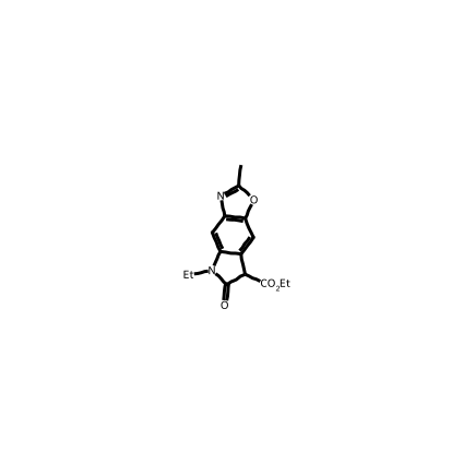 CCOC(=O)C1C(=O)N(CC)c2cc3nc(C)oc3cc21